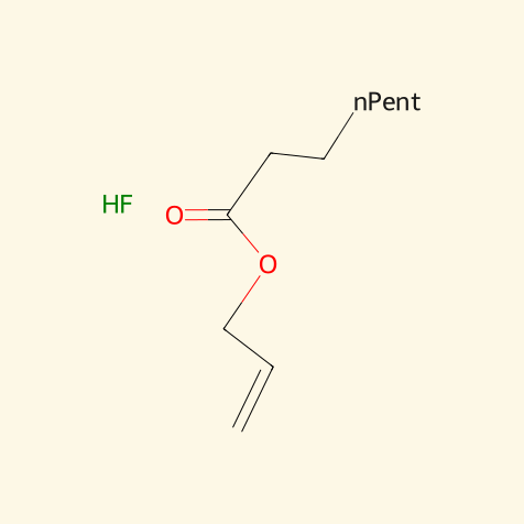 C=CCOC(=O)CCCCCCC.F